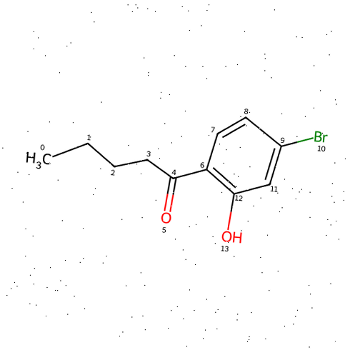 CCCCC(=O)c1ccc(Br)cc1O